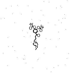 CCN1CCN(CCCC(=O)c2[c]c(OC(=O)N(C)C)c(OC(=O)N(C)C)cc2)CC1